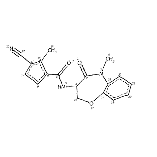 CN1C(=O)[C@@H](NC(=O)c2ccc(C#N)n2C)COc2ccccc21